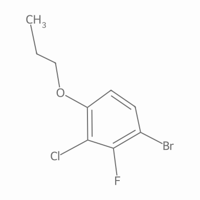 CCCOc1ccc(Br)c(F)c1Cl